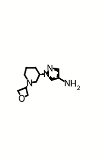 Nc1cnn([C@@H]2CCCN(C3COC3)C2)c1